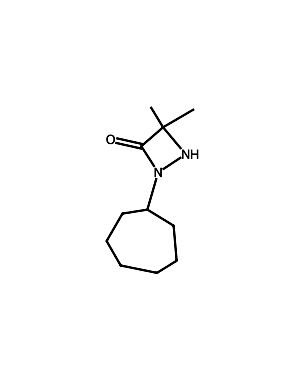 CC1(C)NN(C2CCCCCC2)C1=O